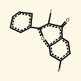 O=c1c(I)c(-c2ccccc2)oc2cc(F)ccc12